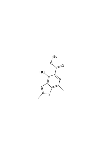 CCCCOC(=O)c1nc(C)c2sc(C)cc2c1O